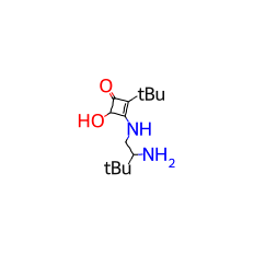 CC(C)(C)C1=C(NCC(N)C(C)(C)C)C(O)C1=O